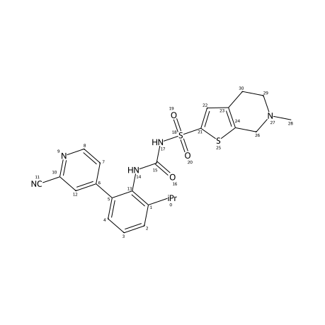 CC(C)c1cccc(-c2ccnc(C#N)c2)c1NC(=O)NS(=O)(=O)c1cc2c(s1)CN(C)CC2